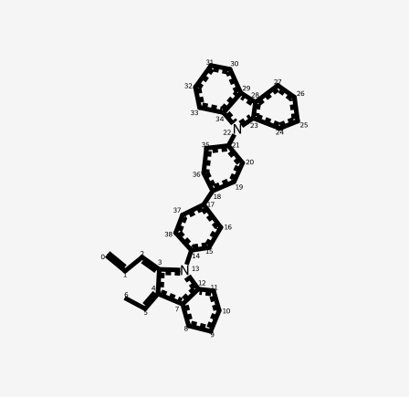 C=C/C=c1\c(=C/C)c2ccccc2n1-c1ccc(-c2ccc(-n3c4ccccc4c4ccccc43)cc2)cc1